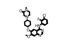 COc1cc2ncnc(Nc3cccc(Cl)c3F)c2cc1O[C@H]1CC[C@H](N2CCN(C)C(=O)C2)CC1